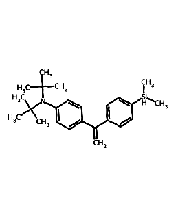 C=C(c1ccc(N(C(C)(C)C)C(C)(C)C)cc1)c1ccc([SiH](C)C)cc1